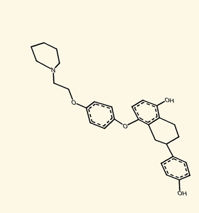 Oc1ccc(C2CCc3c(O)ccc(Oc4ccc(OCCN5CCCCC5)cc4)c3C2)cc1